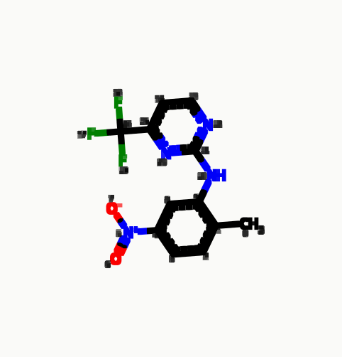 Cc1ccc([N+](=O)[O-])cc1Nc1nccc(C(F)(F)F)n1